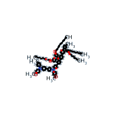 C#CC#CC#CC#CC#COc1ccc(C2(c3ccc(OCCCCCCCCCC)cc3)c3cc(-c4ccc(N(c5ccc(OC)cc5)c5ccc(-c6ccc(N(c7ccc(C)cc7)c7ccc(OC)cc7)cc6)cc5)cc4)ccc3-c3ccc(-c4ccc5c(c4)C(CCCCCCCCCC)(CCCCCCCCCC)c4cc(C)ccc4-5)cc32)cc1